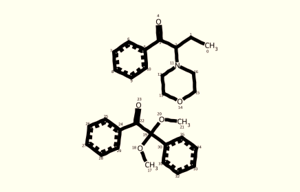 CCC(C(=O)c1ccccc1)N1CCOCC1.COC(OC)(C(=O)c1ccccc1)c1ccccc1